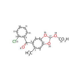 Cc1cc2c(cc1C(=O)c1ccccc1Cl)OC(OC(=O)O)O2